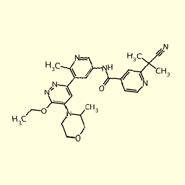 CCOc1nnc(-c2cc(NC(=O)c3ccnc(C(C)(C)C#N)c3)cnc2C)cc1N1CCOCC1C